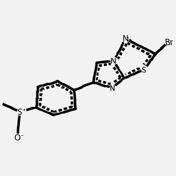 C[S+]([O-])c1ccc(-c2cn3nc(Br)sc3n2)cc1